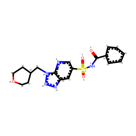 O=C(NS(=O)(=O)c1cnc2c(c1)nnn2CC1CCOCC1)c1ccccc1